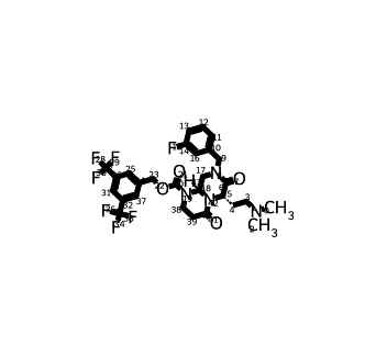 CN(C)CC[C@H]1C(=O)N(Cc2cccc(F)c2)C[C@@H]2N(C(=O)OCc3cc(C(F)(F)F)cc(C(F)(F)F)c3)CCC(=O)N21